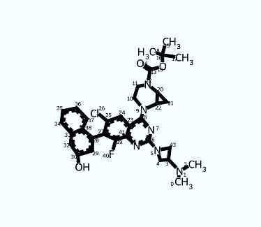 CN(C)C1CN(c2nc(N3CCN(C(=O)OC(C)(C)C)C4CC43)c3cc(Cl)c(-c4cc(O)cc5ccccc45)c(F)c3n2)C1